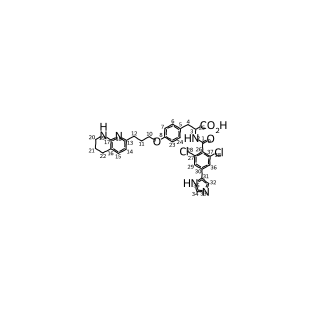 O=C(NC(Cc1ccc(OCCCc2ccc3c(n2)NCCC3)cc1)C(=O)O)c1c(Cl)cc(-c2cnc[nH]2)cc1Cl